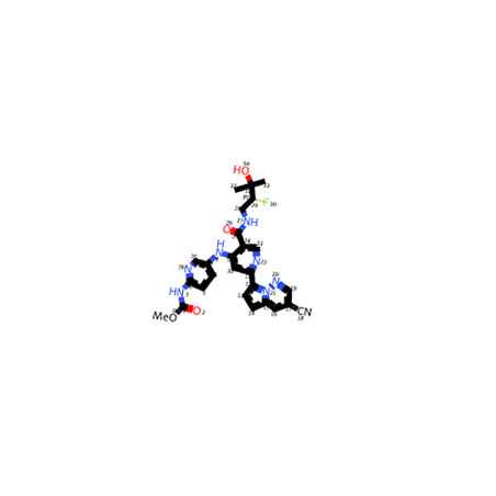 COC(=O)Nc1ccc(Nc2cc(-c3ccc4cc(C#N)cnn34)ncc2C(=O)NC[C@@H](F)C(C)(C)O)cn1